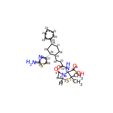 CC1(C)S[C@@H]2CC(=O)N2[C@@]1(NC(=O)CCC1CC[C@H](c2ccccc2)C[C@H]1c1csc(N)n1)C(=O)O